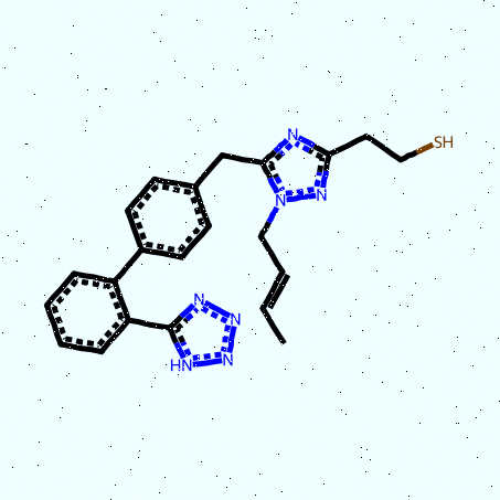 CC=CCn1nc(CCS)nc1Cc1ccc(-c2ccccc2-c2nnn[nH]2)cc1